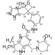 C[C@H]1CCCN(Cc2cc(C(=O)Nc3cccc(C4(Cc5nncn5C)COC4)c3)nc3c2NCC3(C)C)C1